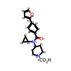 O=C(O)N1CCC(N(C(=O)c2ccc(-c3ccco3)cc2)C2CC2)CC1